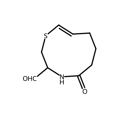 O=CC1CS/C=C/CCCC(=O)N1